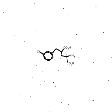 N[C@H](CC(Cc1cccc(Cl)c1)C(=O)O)C(=O)O